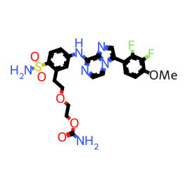 COc1ccc(-c2cnc3c(Nc4ccc(S(N)(=O)=O)c(CCOCCOC(N)=O)c4)nccn23)c(F)c1F